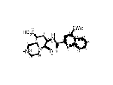 COc1cc(C(=O)NC(CCC(=O)O)C(=O)N2CCNCC2)nc2ccccc12